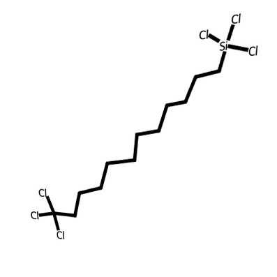 ClC(Cl)(Cl)CCCCCCCCCCC[Si](Cl)(Cl)Cl